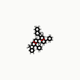 CC1(C)c2ccccc2-c2c(-c3ccccc3N(c3ccc(-c4ccccc4)cc3)c3ccccc3-c3cccc4oc5c6ccccc6ccc5c34)cccc21